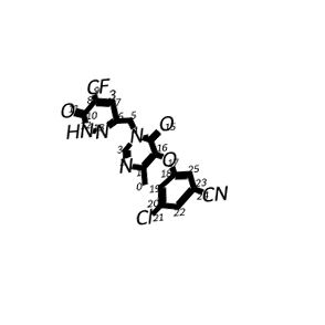 Cc1ncn(Cc2cc(C(F)(F)F)c(=O)[nH]n2)c(=O)c1Oc1cc(Cl)cc(C#N)c1